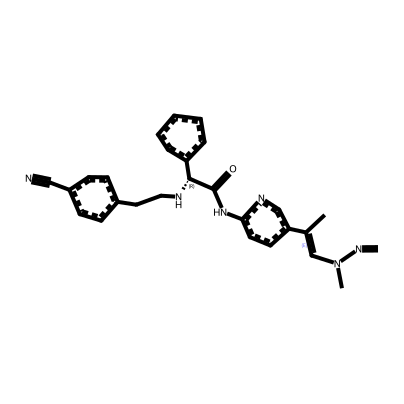 C=NN(C)/C=C(\C)c1ccc(NC(=O)[C@H](NCCc2ccc(C#N)cc2)c2ccccc2)nc1